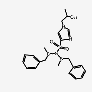 CB(Cc1ccccc1)N(B(C)Cc1ccccc1)S(=O)(=O)c1cn(CC(C)O)cn1